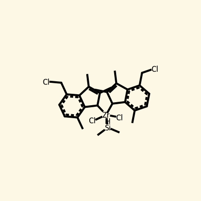 CC1=C(C)[CH]([Zr]([Cl])([Cl])([CH]2C(C)=C(C)c3c(CCl)ccc(C)c32)[SiH](C)C)c2c(C)ccc(CCl)c21